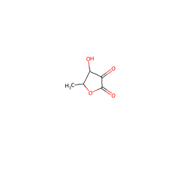 CC1OC(=O)C(=O)C1O